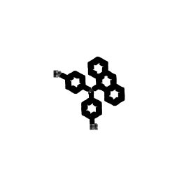 CCc1ccc(N(c2ccc(CC)cc2)c2c3ccccc3cc3ccccc23)cc1